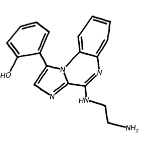 NCCNc1nc2ccccc2n2c(-c3ccccc3O)cnc12